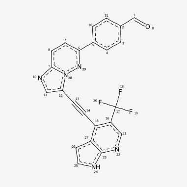 O=Cc1ccc(-c2ccc3ncc(C#Cc4c(C(F)(F)F)cnc5[nH]ccc45)n3n2)cc1